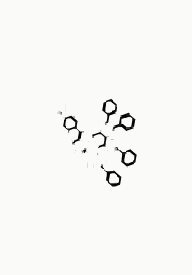 COc1ccc2c(O[C@@H]3O[C@H](COCc4ccccc4)[C@@H](OCc4ccccc4)[C@H](OCc4ccccc4)[C@H]3OCc3ccccc3)c(OC(C)=O)c(=O)oc2c1